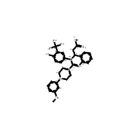 COc1cccc(N2CCN(C3=Nc4ccccc4C(CC(=O)O)N3c3ccc(F)c(C(F)(F)F)c3)CC2)c1